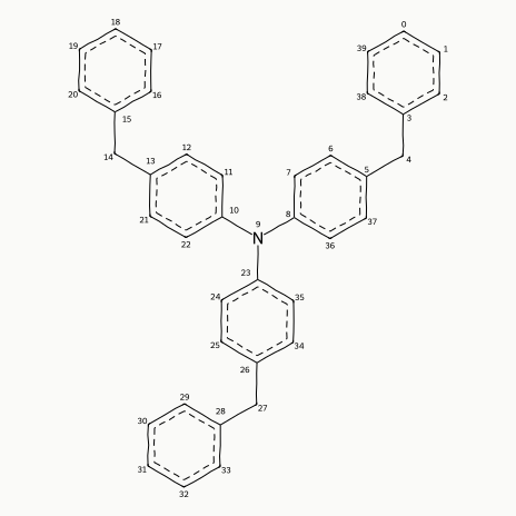 c1ccc(Cc2ccc(N(c3ccc(Cc4ccccc4)cc3)c3ccc(Cc4ccccc4)cc3)cc2)cc1